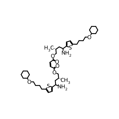 C[C@@H](COC(=O)/C=C\C(=O)OC[C@H](C)CC(N)c1ccc(CCCCOC2CCCCC2)s1)CC(N)c1ccc(CCCCOC2CCCCC2)s1